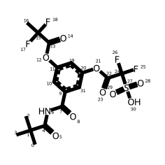 CC(C)(C)C(=O)NC(=O)c1cc(OC(=O)C(C)(F)F)cc(OC(=O)C(F)(F)S(=O)(=O)O)c1